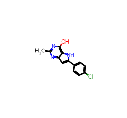 Cc1nc(O)c2[nH]c(-c3ccc(Cl)cc3)cc2n1